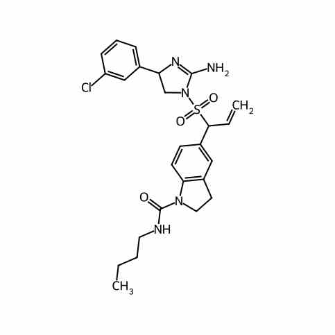 C=CC(c1ccc2c(c1)CCN2C(=O)NCCCC)S(=O)(=O)N1CC(c2cccc(Cl)c2)N=C1N